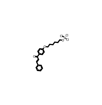 O=C(C=Cc1ccccc1)c1ccc(OCCCCCCO[Si](Cl)(Cl)Cl)cc1